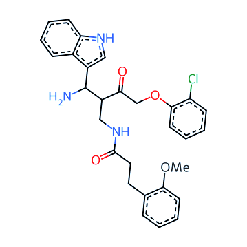 COc1ccccc1CCC(=O)NCC(C(=O)COc1ccccc1Cl)C(N)c1c[nH]c2ccccc12